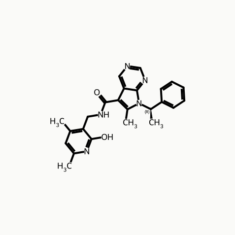 Cc1cc(C)c(CNC(=O)c2c(C)n([C@H](C)c3ccccc3)c3ncncc23)c(O)n1